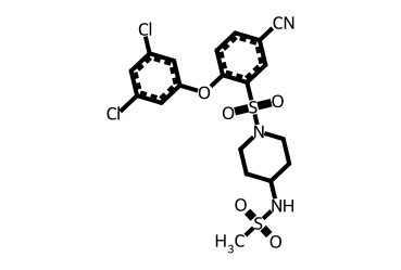 CS(=O)(=O)NC1CCN(S(=O)(=O)c2cc(C#N)ccc2Oc2cc(Cl)cc(Cl)c2)CC1